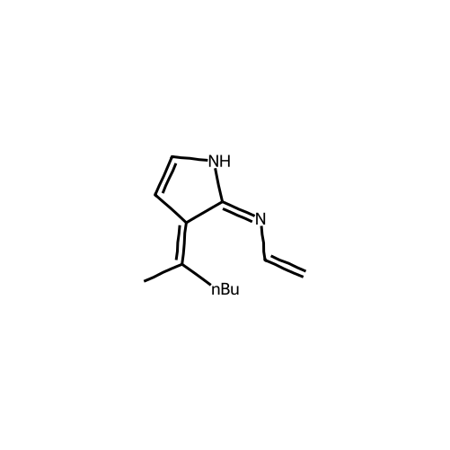 C=C/N=C1/NC=C/C1=C(\C)CCCC